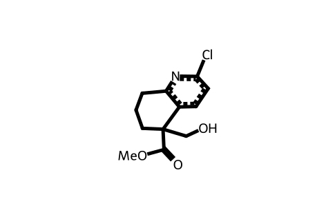 COC(=O)C1(CO)CCCc2nc(Cl)ccc21